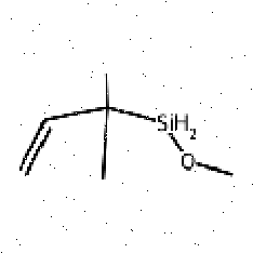 C=CC(C)(C)[SiH2]OC